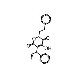 C=CC(C1=C(O)C(=O)C(CCc2ccccc2)OC1=O)c1ccccc1